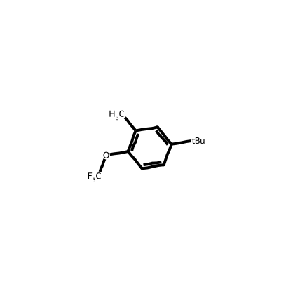 Cc1cc(C(C)(C)C)ccc1OC(F)(F)F